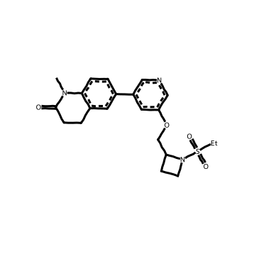 CCS(=O)(=O)N1CCC1COc1cncc(-c2ccc3c(c2)CCC(=O)N3C)c1